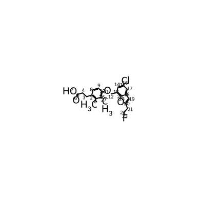 Cc1c(CCC(=O)O)ccc(OCc2cc(Cl)cc3cc(CCF)oc23)c1C